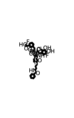 O=C(NCCCN1CCN(C(=O)N[C@@H](C(=O)N[C@H]2Cc3ccc(F)c(C(=O)O)c3OB2O)c2cc(F)c(O)c(O)c2Cl)C1=O)c1ccccc1